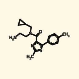 Cc1ccc(-c2sc(C)nc2C(=O)N(CCN)CC2CC2)cc1